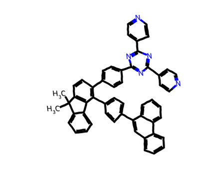 CC1(C)c2ccccc2-c2c1ccc(-c1ccc(-c3nc(-c4ccncc4)nc(-c4ccncc4)n3)cc1)c2-c1ccc(-c2cc3ccccc3c3ccccc23)cc1